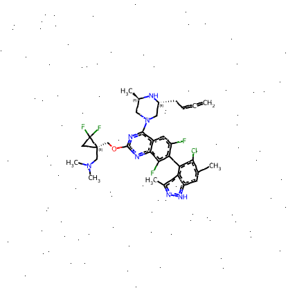 C=C=CC[C@@H]1CN(c2nc(OC[C@]3(CN(C)C)CC3(F)F)nc3c(F)c(-c4c(Cl)c(C)cc5[nH]nc(C)c45)c(F)cc23)C[C@@H](C)N1